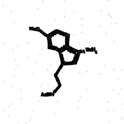 COc1ccc2[nH]cc(CCNC(C)=O)c2c1.[SeH2]